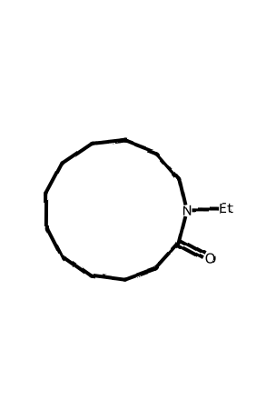 CCN1CCCCCCCCCCCC1=O